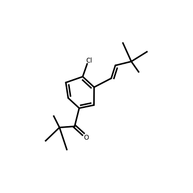 CC(C)(C)/C=C/c1cc(C(=O)C(C)(C)C)ccc1Cl